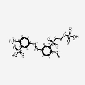 COc1ccc(N=Nc2ccc(N)c(S(=O)(=O)O)c2)cc1S(=O)(=O)CCOS(=O)(=O)O